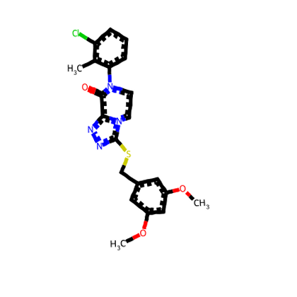 COc1cc(CSc2nnc3c(=O)n(-c4cccc(Cl)c4C)ccn23)cc(OC)c1